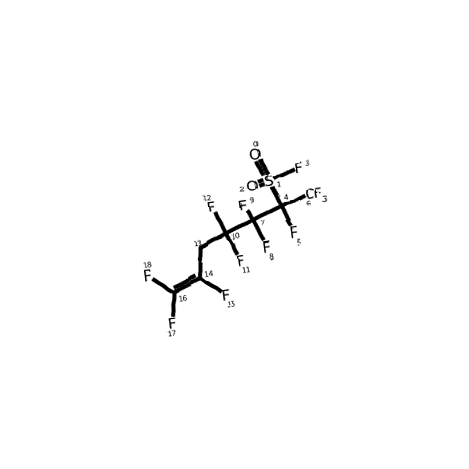 O=S(=O)(F)C(F)(C(F)(F)F)C(F)(F)C(F)(F)CC(F)=C(F)F